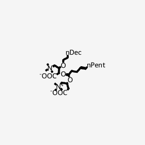 CCCCCC=CCCC(=O)OC(CC(=O)[O-])C[N+](C)(C)C.CCCCCCCCCCCCOC(CC(=O)[O-])C[N+](C)(C)C